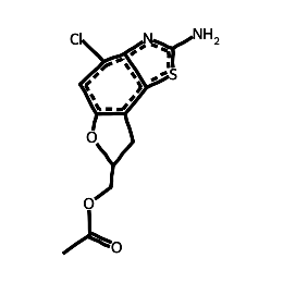 CC(=O)OCC1Cc2c(cc(Cl)c3nc(N)sc23)O1